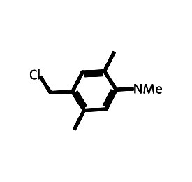 CNc1cc(C)c(CCl)cc1C